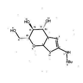 CCCCNC1=NC2C(O[C@H](CO)[C@@H](O)[C@@H]2O)S1